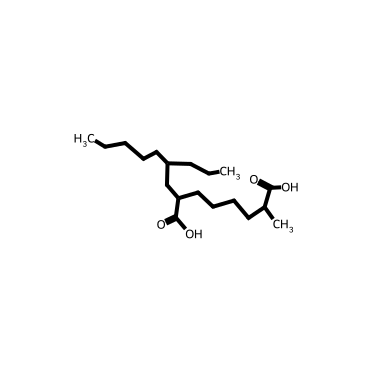 CCCCCC(CCC)CC(CCCCC(C)C(=O)O)C(=O)O